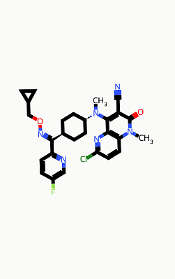 Cn1c(=O)c(C#N)c(N(C)[C@H]2CC[C@H](/C(=N\OCC3CC3)c3ccc(F)cn3)CC2)c2nc(Cl)ccc21